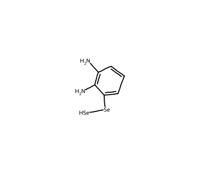 Nc1cccc([Se][SeH])c1N